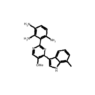 COc1cnc(-c2c(N)ccc(N)c2N)nc1-c1c[nH]c2c(C)cccc12